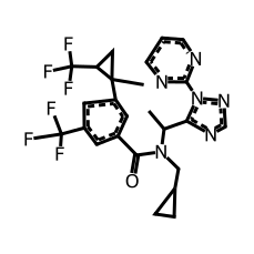 CC(c1ncnn1-c1ncccn1)N(CC1CC1)C(=O)c1cc(C(F)(F)F)cc(C2(C)CC2C(F)(F)F)c1